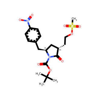 CC(C)(C)OC(=O)N1C(=O)[C@@H](CCOS(C)(=O)=O)C[C@@H]1Cc1ccc([N+](=O)[O-])cc1